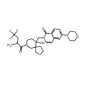 CC(CC(F)(F)F)C(=O)N1CCC(O)(Cn2ccc3nc(N4CCOCC4)ncc3c2=O)C2(CCCC2)C1